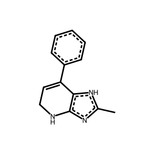 Cc1nc2c([nH]1)C(c1ccccc1)=CCN2